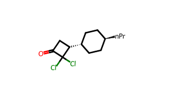 CCC[C@H]1CC[C@H](C2CC(=O)C2(Cl)Cl)CC1